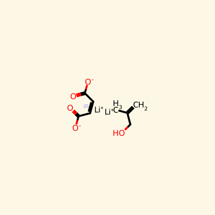 C=C(C)CO.O=C([O-])/C=C\C(=O)[O-].[Li+].[Li+]